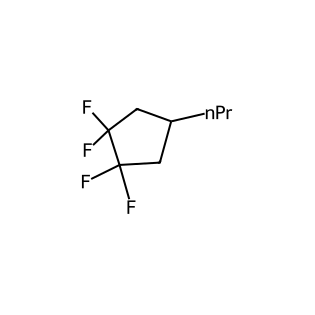 CCCC1CC(F)(F)C(F)(F)C1